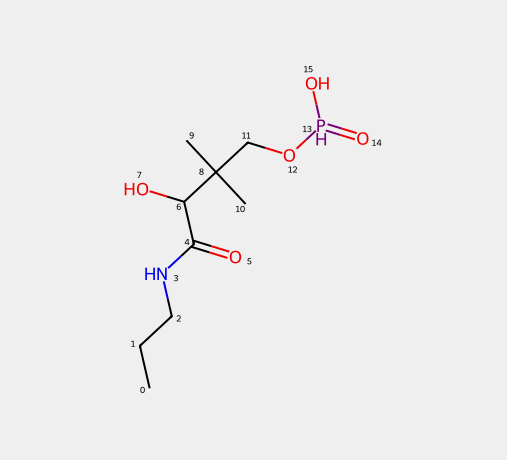 CCCNC(=O)C(O)C(C)(C)CO[PH](=O)O